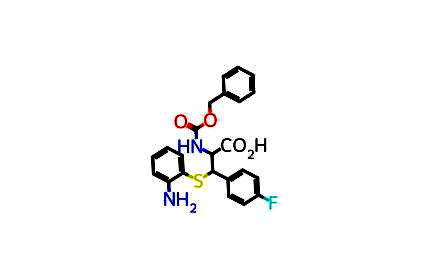 Nc1ccccc1SC(c1ccc(F)cc1)C(NC(=O)OCc1ccccc1)C(=O)O